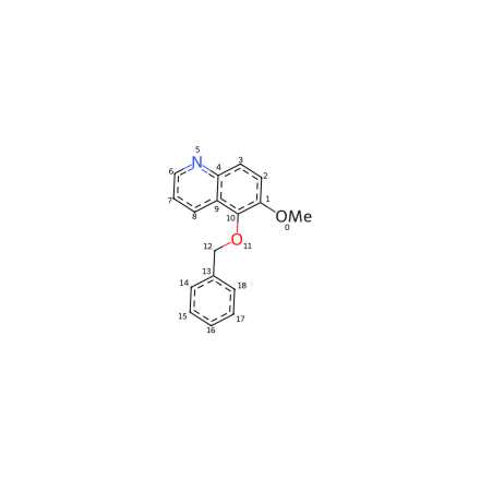 COc1ccc2ncccc2c1OCc1ccccc1